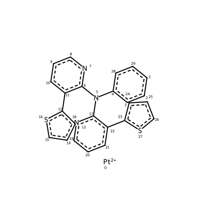 [Pt+2].c1ccc(N(c2ncccc2-c2cccs2)c2ncccc2-c2cccs2)cc1